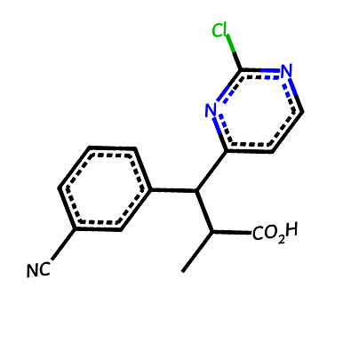 CC(C(=O)O)C(c1cccc(C#N)c1)c1ccnc(Cl)n1